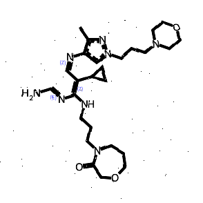 Cc1nn(CCCN2CCOCC2)cc1\N=C/C(=C(\N=C\N)NCCCN1CCCOCC1=O)C1CC1